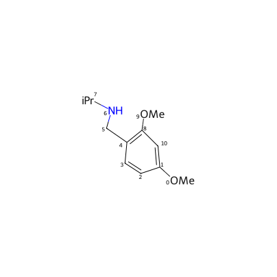 COc1ccc(CNC(C)C)c(OC)c1